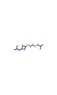 CC(C)COCCOC1CN(CC(C)C)C1